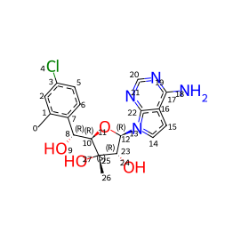 Cc1cc(Cl)ccc1[C@@H](O)[C@H]1O[C@@H](n2ccc3c(N)ncnc32)[C@H](O)[C@]1(C)O